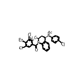 CCc1c(Cl)cc(C(=O)N2c3ccccc3[C@H](N(C(C)=O)c3ccc(Cl)cc3)C[C@@H]2C)cc1Cl